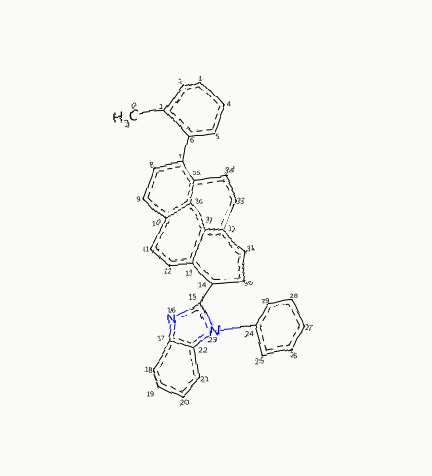 Cc1ccccc1-c1ccc2ccc3c(-c4nc5ccccc5n4-c4ccccc4)ccc4ccc1c2c43